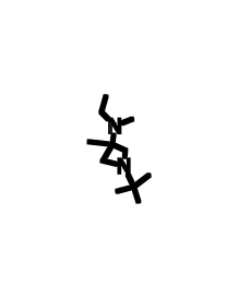 CCN(C)C1(C)CN(C(C)(C)C)C1